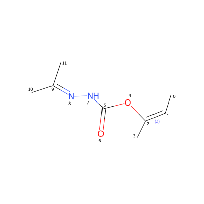 C/C=C(/C)OC(=O)NN=C(C)C